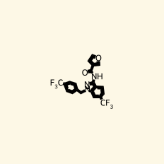 O=C(Nc1nn(Cc2ccc(C(F)(F)F)cc2)c2cc(C(F)(F)F)ccc12)c1ccoc1